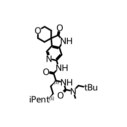 CCC[C@H](C)CC[C@H](NC(=O)N(C)CC(C)(C)C)C(=O)Nc1cc2c(cn1)C1(CCOCC1)C(=O)N2